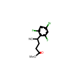 COC(=O)CCC(C#N)c1c(F)cc(Br)cc1F